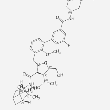 COc1c(CN2O[C@@H](CO)[C@@H]([C@H](C)O)C2C(=O)N[C@H]2CC3C[C@@H]([C@@H]2C)C3(C)C)cccc1-c1cc(F)cc(C(=O)N[C@H](CO)CC(C)C)c1